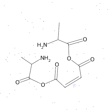 CC(N)C(=O)OC(=O)/C=C\C(=O)OC(=O)C(C)N